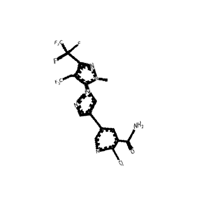 Cn1nc(C(F)(F)C(F)(F)F)c(C(F)(F)F)c1-n1cc(-c2cnc(Cl)c(C(N)=O)c2)cn1